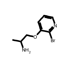 CC(N)COc1cccnc1Br